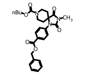 CCCCOC(=O)N1CCC2(CC1)C(=O)N(C)C(=O)N2c1ccc(C(=O)OCc2ccccc2)cc1